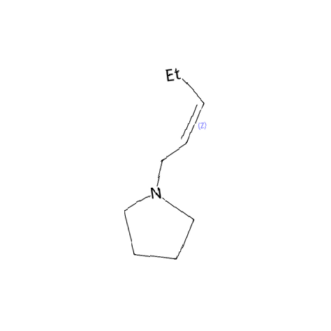 CC/C=C\CN1CCCC1